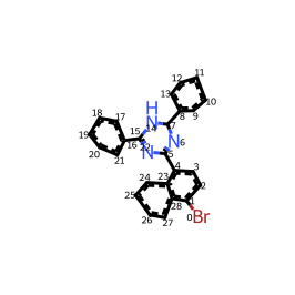 Brc1ccc(C2=NC(c3ccccc3)NC(c3ccccc3)=N2)c2ccccc12